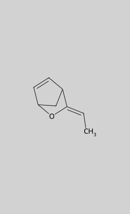 CC=C1OC2C=CC1C2